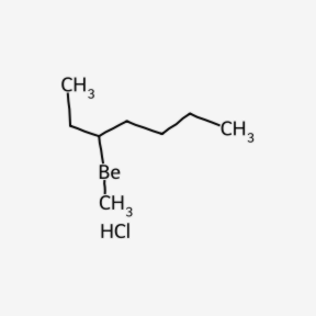 Cl.[CH3][Be][CH](CC)CCCC